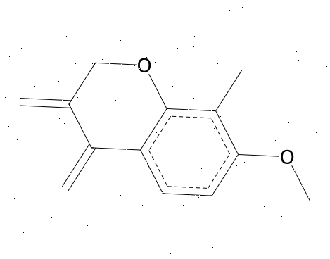 C=C1COc2c(ccc(OC)c2C)C1=C